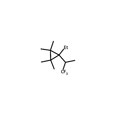 CCC1(C(C)C(F)(F)F)C(C)(C)C1(C)C